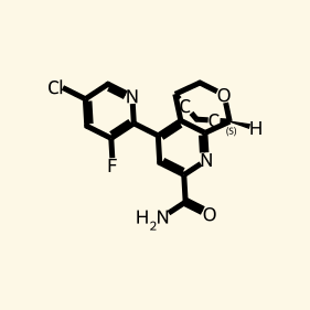 NC(=O)c1cc(-c2ncc(Cl)cc2F)c2c(n1)[C@@H]1CCCC2CO1